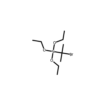 CCO[Si](OCC)(OCC)C(C)(C)Br